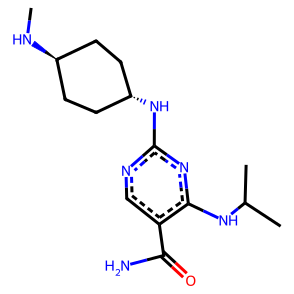 CN[C@H]1CC[C@H](Nc2ncc(C(N)=O)c(NC(C)C)n2)CC1